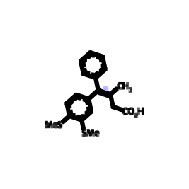 CSc1ccc(/C(=C(/C)CC(=O)O)c2ccccc2)cc1SC